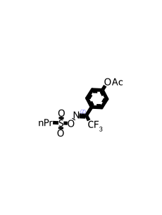 CCCS(=O)(=O)O/N=C(/c1ccc(OC(C)=O)cc1)C(F)(F)F